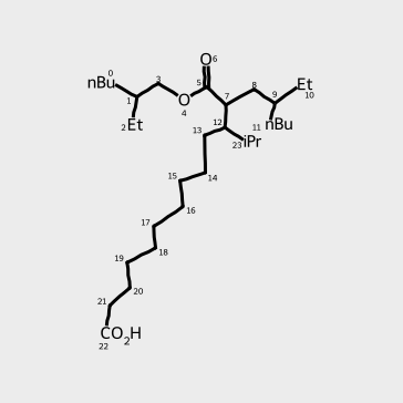 CCCCC(CC)COC(=O)C(CC(CC)CCCC)C(CCCCCCCCCC(=O)O)C(C)C